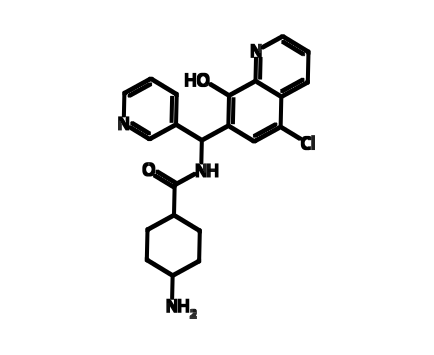 NC1CCC(C(=O)NC(c2cccnc2)c2cc(Cl)c3cccnc3c2O)CC1